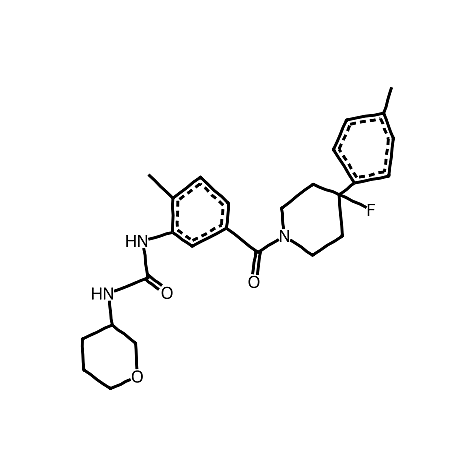 Cc1ccc(C2(F)CCN(C(=O)c3ccc(C)c(NC(=O)NC4CCCOC4)c3)CC2)cc1